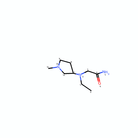 CCN(CC(N)=O)C1CCN(C)C1